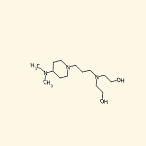 CN(C)C1CCN(CCCN(CCO)CCO)CC1